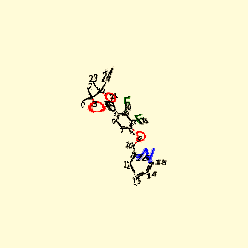 CC1(C)OB(c2ccc(OCc3ccccn3)c(F)c2F)OC1(C)C